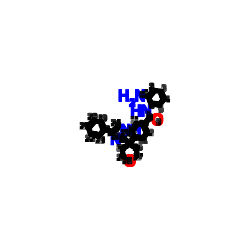 Nc1ccccc1NC(=O)c1ccc(C2(c3nc(-c4ccccc4)c[nH]3)CCOCC2)cc1